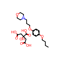 CCCCOc1ccc(OCCCN2CCOCC2)cc1.O=C(O)CC(O)(CC(=O)O)C(=O)O